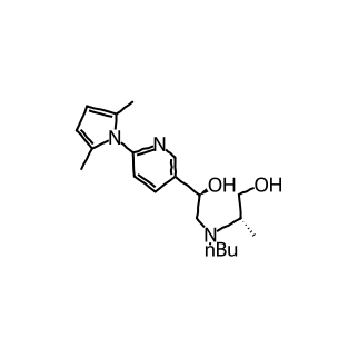 CCCCN(C[C@H](O)c1ccc(-n2c(C)ccc2C)nc1)[C@@H](C)CO